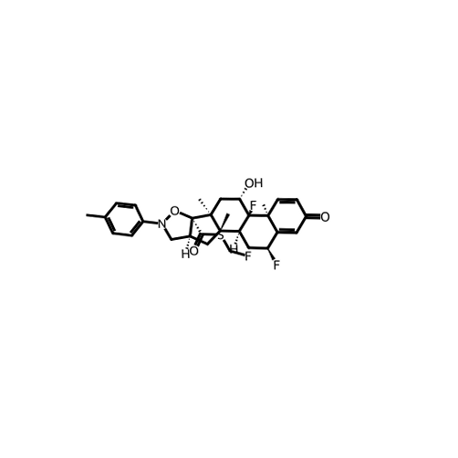 Cc1ccc(N2C[C@@H]3C[C@@]4(C)[C@@H]5C[C@H](F)C6=CC(=O)C=C[C@]6(C)[C@@]5(F)[C@@H](O)C[C@]4(C)[C@]3(C(=O)SCF)O2)cc1